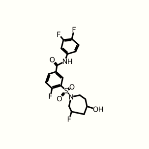 O=C(Nc1ccc(F)c(F)c1)c1ccc(F)c(S(=O)(=O)N2CCC(O)CC(F)C2)c1